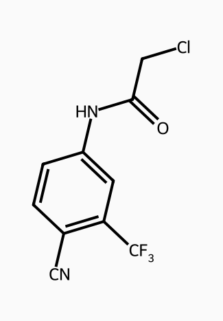 N#Cc1ccc(NC(=O)CCl)cc1C(F)(F)F